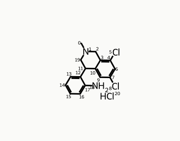 CN1Cc2c(Cl)cc(Cl)cc2C(c2ccccc2N)C1.Cl